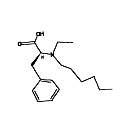 CCCCCCN(CC)[C@@H](Cc1ccccc1)C(=O)O